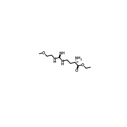 CCOC(=O)[C@@H](N)CCNC(=N)NCCOC